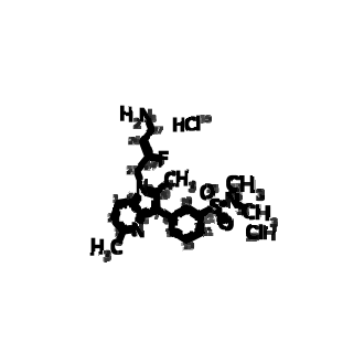 Cc1ccc2c(n1)c(-c1cccc(S(=O)(=O)N(C)C)c1)c(C)n2C/C(F)=C/CN.Cl.Cl